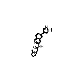 CC1CCCN1CC(=O)Nc1cc2cc(-c3cn[nH]c3)ccc2cn1